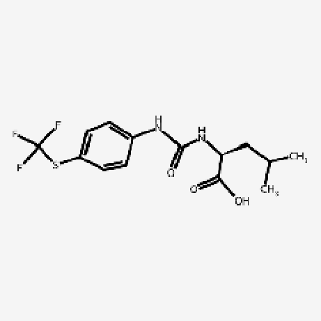 CC(C)C[C@H](NC(=O)Nc1ccc(SC(F)(F)F)cc1)C(=O)O